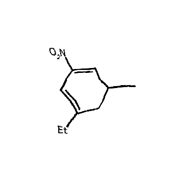 CCC1=CC([N+](=O)[O-])=CC(C)C1